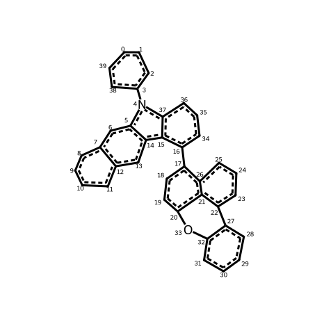 c1ccc(-n2c3cc4ccccc4cc3c3c(-c4ccc5c6c(cccc46)-c4ccccc4O5)cccc32)cc1